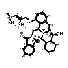 CN(N)/C=C(\N)COc1cccc2c1C(CN1C(=O)c3ccccc3C1=O)N(C(=O)C1CCCCC1C(=O)O)CC2